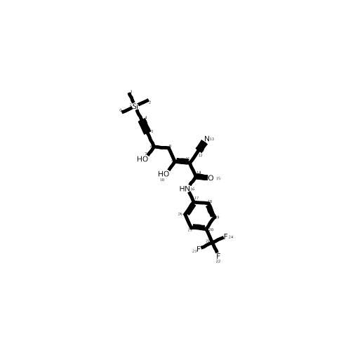 C[Si](C)(C)C#CC(O)CC(O)=C(C#N)C(=O)Nc1ccc(C(F)(F)F)cc1